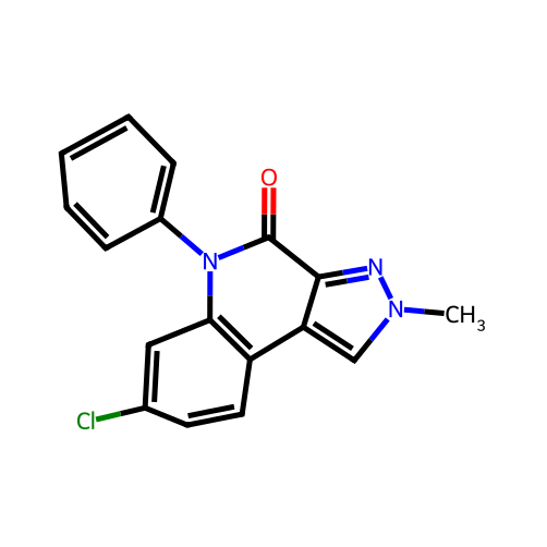 Cn1cc2c(n1)c(=O)n(-c1ccccc1)c1cc(Cl)ccc21